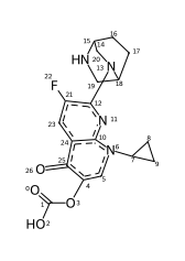 O=C(O)Oc1cn(C2CC2)c2nc(N3CC4CCC3CN4)c(F)cc2c1=O